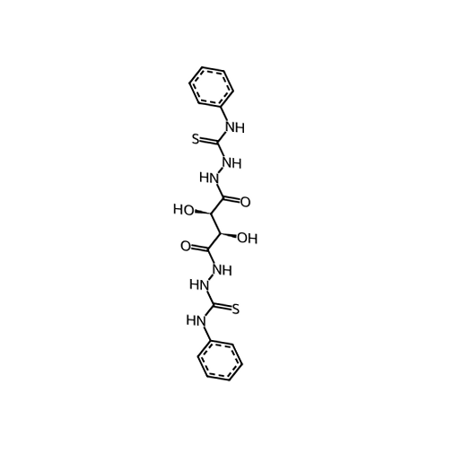 O=C(NNC(=S)Nc1ccccc1)[C@H](O)[C@@H](O)C(=O)NNC(=S)Nc1ccccc1